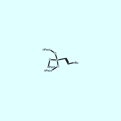 CCCCC=C[Si](OCCCCC)(OCCCCC)OCCCCC